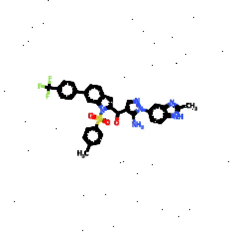 Cc1ccc(S(=O)(=O)n2c(C(=O)c3cnn(-c4ccc5[nH]c(C)nc5c4)c3N)cc3ccc(-c4ccc(C(F)(F)F)cc4)cc32)cc1